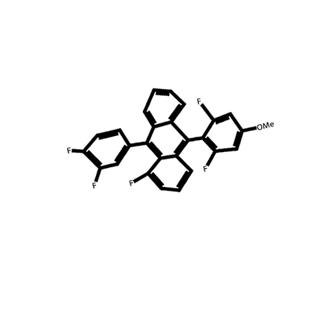 COc1cc(F)c(-c2c3ccccc3c(-c3ccc(F)c(F)c3)c3c(F)cccc23)c(F)c1